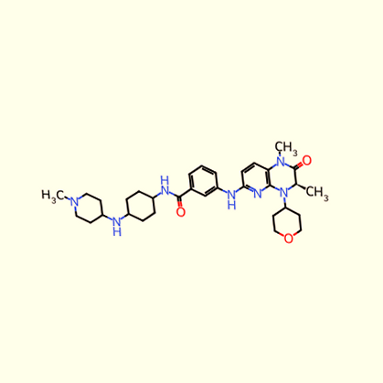 C[C@@H]1C(=O)N(C)c2ccc(Nc3cccc(C(=O)NC4CCC(NC5CCN(C)CC5)CC4)c3)nc2N1C1CCOCC1